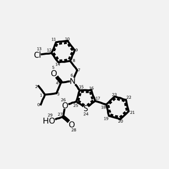 CC(C)CC(=O)N(Cc1cccc(Cl)c1)c1cc(-c2ccccc2)sc1OC(=O)O